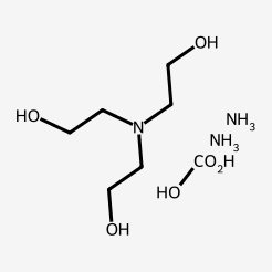 N.N.O=C(O)O.OCCN(CCO)CCO